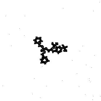 CCC(C)(C)c1ccc(CCCOP(=O)(OCc2ccccc2)OCc2ccccc2)c(C(C)(C)CC)c1